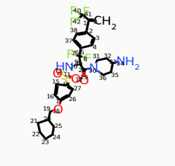 C=C(c1ccc(C(F)(F)[C@H](NS(=O)(=O)c2ccc(OCC3CCCCC3)cc2)C(=O)N2CCC(N)CC2)cc1)C(F)(F)F